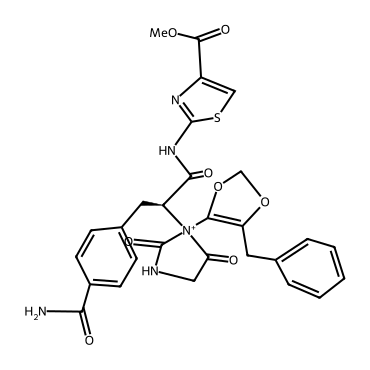 COC(=O)c1csc(NC(=O)[C@H](Cc2ccc(C(N)=O)cc2)[N+]2(C3=C(Cc4ccccc4)OCO3)C(=O)CNC2=O)n1